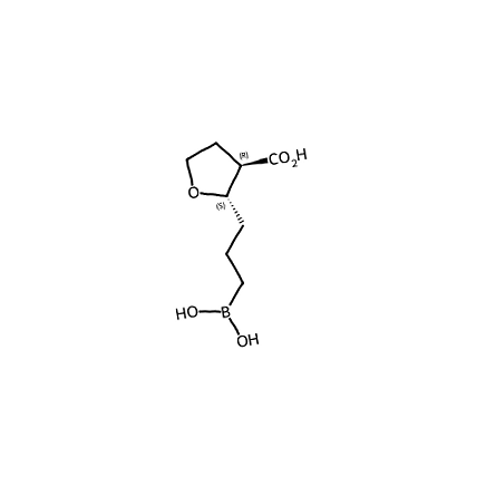 O=C(O)[C@@H]1CCO[C@H]1CCCB(O)O